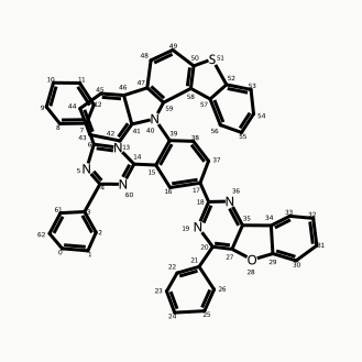 c1ccc(-c2nc(-c3ccccc3)nc(-c3cc(-c4nc(-c5ccccc5)c5oc6ccccc6c5n4)ccc3-n3c4ccccc4c4ccc5sc6ccccc6c5c43)n2)cc1